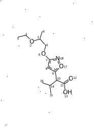 CCOC(C)COc1cc(C(C(=O)O)C(C)C)on1